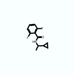 CC(NC(=O)c1c(F)cccc1F)C1CC1